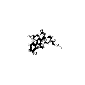 C=CC(=O)N1CCN(c2nc(=O)n3c4c(c(-c5cc(Cl)c(F)cc5F)c(C(F)(F)F)cc24)SCC(N)C3)CC1